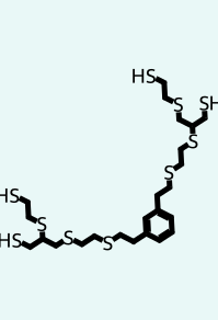 SCCSCC(CS)SCCSCCc1cccc(CCSCCSCC(CS)SCCS)c1